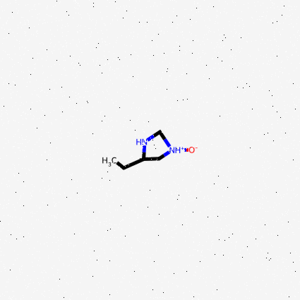 CCC1C[NH+]([O-])CN1